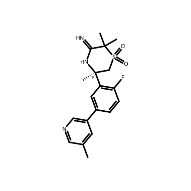 Cc1cncc(-c2ccc(F)c([C@]3(C)CS(=O)(=O)C(C)(C)C(=N)N3)c2)c1